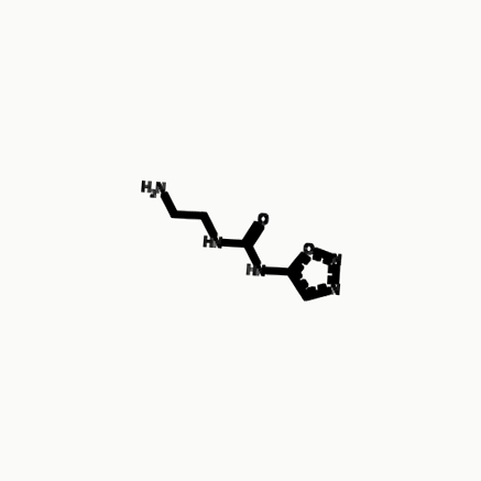 NCCNC(=O)Nc1cnno1